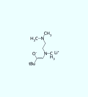 CN(C)CCN(C)C=C([O-])C(C)(C)C.[Li+]